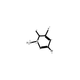 CC1C(F)=CC(Br)=CN1N